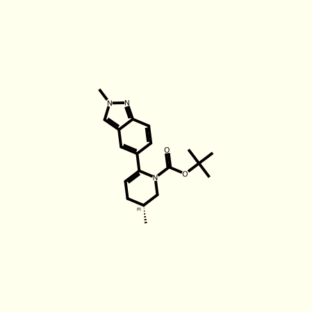 C[C@@H]1CC=C(c2ccc3nn(C)cc3c2)N(C(=O)OC(C)(C)C)C1